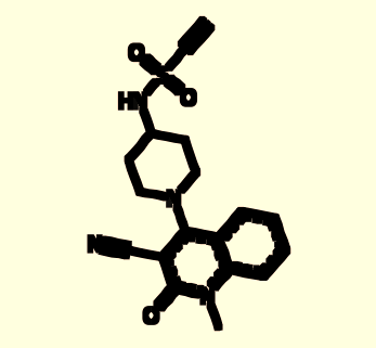 C#CS(=O)(=O)NC1CCN(c2c(C#N)c(=O)n(C)c3ccccc23)CC1